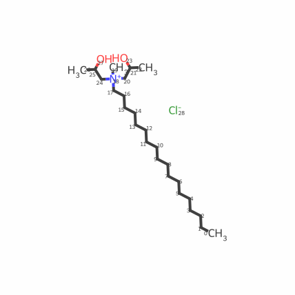 CCCCCCCCCCCCCCCCCC[N+](C)(CC(C)O)CC(C)O.[Cl-]